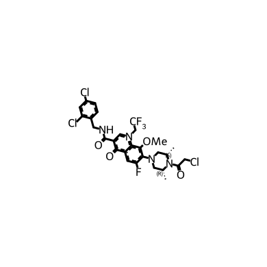 COc1c(N2C[C@@H](C)N(C(=O)CCl)[C@@H](C)C2)c(F)cc2c(=O)c(C(=O)NCc3ccc(Cl)cc3Cl)cn(CC(F)(F)F)c12